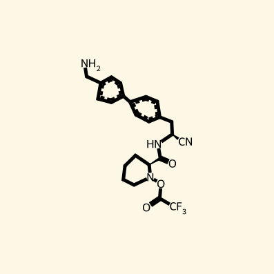 N#C[C@H](Cc1ccc(-c2ccc(CN)cc2)cc1)NC(=O)[C@@H]1CCCCN1OC(=O)C(F)(F)F